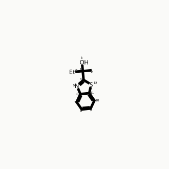 CCC(C)(O)c1nc2ccccc2s1